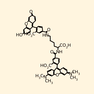 CN(C)c1ccc2c(-c3ccc(C(=O)NC(CCCCNC(=O)c4ccc(-c5c6ccc(=O)cc-6oc6cc(O)ccc56)c(C(=O)O)c4)C(=O)O)cc3C(=O)O)c3ccc(=[N+](C)C)cc-3oc2c1